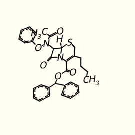 CCCCC1=C(C(=O)OC(c2ccccc2)c2ccccc2)N2C(=O)C(N(Oc3ccccc3)C(C)=O)[C@@H]2SC1